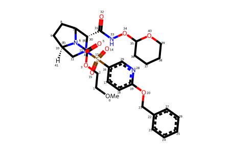 COCCOC(=O)N1C2CC[C@@H]1CN(S(=O)(=O)c1ccc(OCc3ccccc3)nc1)[C@H]2C(=O)NOC1CCCCO1